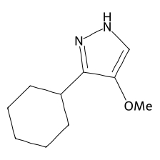 COc1c[nH]nc1C1CCCCC1